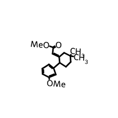 COC(=O)C=C1CC(C)(C)CCC1c1cccc(OC)c1